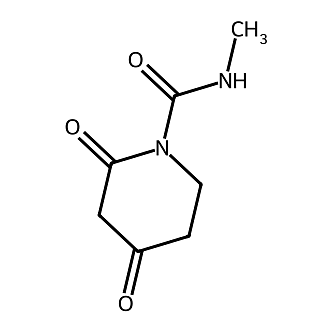 CNC(=O)N1CCC(=O)CC1=O